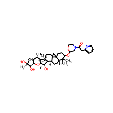 C[C@@H]1C[C@H](C(O)C(C)(C)O)O[C@H]2C1[C@@]1(C)CC[C@@]34CC35CCC(OC3CN(C(=O)Cc6ccccn6)CCO3)C(C)(C)[C@@H]5CC[C@H]4[C@]1(C)[C@H]2O